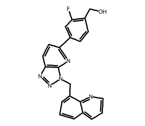 OCc1ccc(-c2ccc3nnn(Cc4cccc5cccnc45)c3n2)cc1F